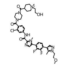 COCCn1ncc(-c2ccc(-c3cnc(C(=O)Nc4ccc(C(=O)N5CCN(C(=O)C6CC[N+](C)(CCO)CC6)CC5)c(Cl)c4)n3C)c(F)c2F)c1C